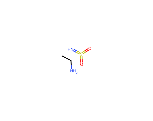 CCN.N=S(=O)=O